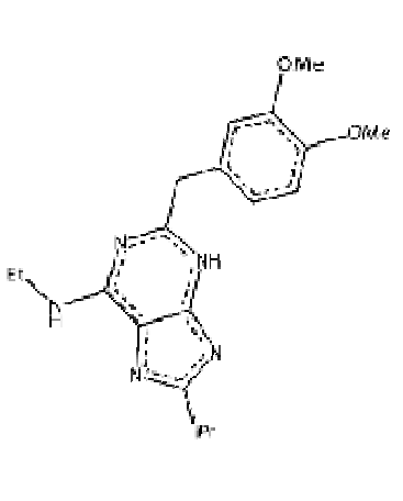 CCNc1nc(Cc2ccc(OC)c(OC)c2)[nH]c2nc(C(C)C)nc1-2